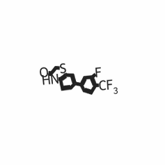 O=C1CSc2cc(-c3ccc(C(F)(F)F)c(F)c3)ccc2N1